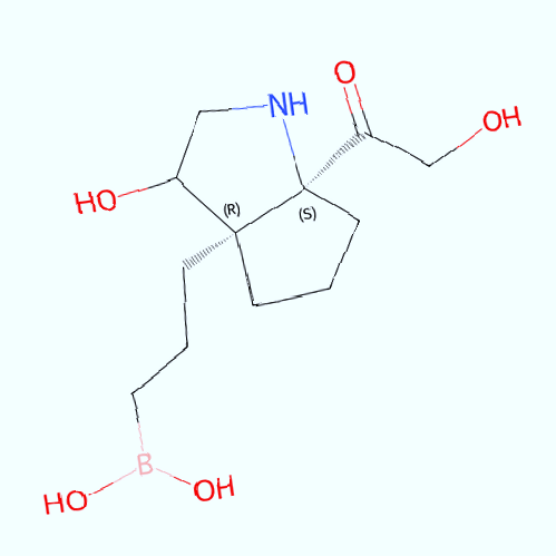 O=C(CO)[C@]12CCC[C@@]1(CCCB(O)O)C(O)CN2